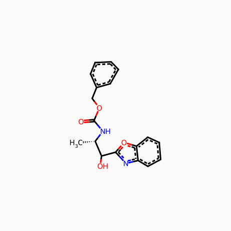 C[C@H](NC(=O)OCc1ccccc1)C(O)c1nc2ccccc2o1